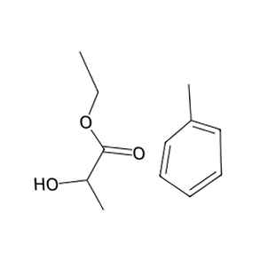 CCOC(=O)C(C)O.Cc1ccccc1